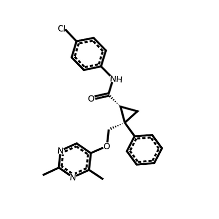 Cc1ncc(OC[C@@]2(c3ccccc3)C[C@H]2C(=O)Nc2ccc(Cl)cc2)c(C)n1